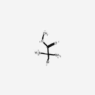 BC(B)(Br)C(=O)OC